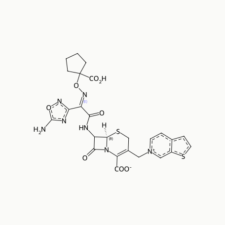 Nc1nc(/C(=N\OC2(C(=O)O)CCCC2)C(=O)NC2C(=O)N3C(C(=O)[O-])=C(C[n+]4ccc5ccsc5c4)CS[C@H]23)no1